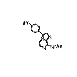 CNc1nccn2c(-c3ccc(C(C)C)cc3)cnc12